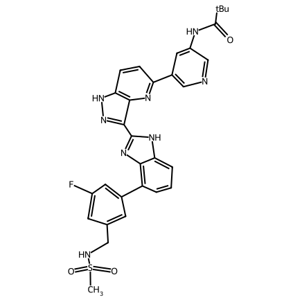 CC(C)(C)C(=O)Nc1cncc(-c2ccc3[nH]nc(-c4nc5c(-c6cc(F)cc(CNS(C)(=O)=O)c6)cccc5[nH]4)c3n2)c1